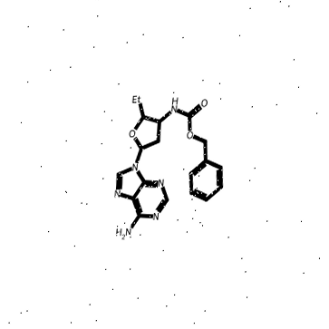 CCC1OC(n2cnc3c(N)ncnc32)CC1NC(=O)OCc1ccccc1